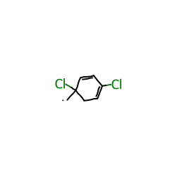 [CH2]C1(Cl)C=CC(Cl)=CC1